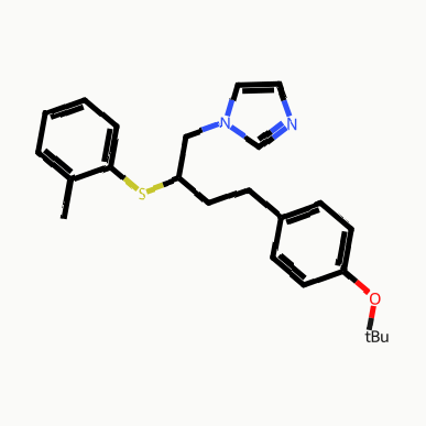 Cc1ccccc1SC(CCc1ccc(OC(C)(C)C)cc1)Cn1ccnc1